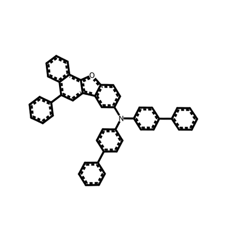 c1ccc(-c2ccc(N(c3ccc(-c4ccccc4)cc3)c3ccc4oc5c6ccccc6c(-c6ccccc6)cc5c4c3)cc2)cc1